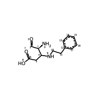 N[C@H](C=O)C(CC(=O)O)NCCc1ccccc1